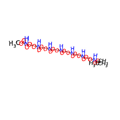 CCOC(=O)CNC(=O)OCCOCCNC(=O)OCCOCCNC(=O)OCCOCCNC(=O)OCCOCCNC(=O)OCCOCCNC(=O)OCCOCCNC(=O)OC(C)(C)C